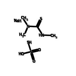 CNC(=S)N(C)C.O=S(=O)(O)S.[NaH]